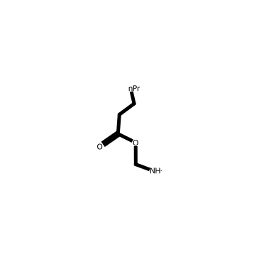 CCCCCC(=O)OC[NH]